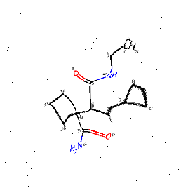 CCNC(=O)C(CC1CC1)C1(C(N)=O)CCC1